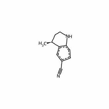 C[C@H]1CCNc2ccc(C#N)cc21